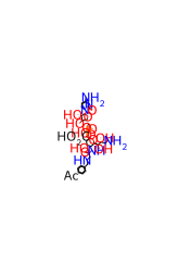 CC(=O)c1ccc(CNCC(=O)N[C@H]2C([C@H](O)[C@H](O)CN)O[C@](OP(=O)(O)OC[C@H]3O[C@@H](n4ccc(N)nc4=O)[C@@H](O)C3O)(C(=O)O)C[C@H]2O)cc1